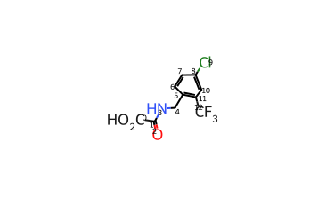 O=C(O)C(=O)NCc1ccc(Cl)cc1C(F)(F)F